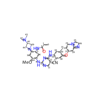 C=CC(=O)Nc1cc(Nc2ncc(C#N)c(Nc3ccc(Oc4ccn5ccnc5c4)c(C)c3)n2)c(OC)cc1N1CC(N(C)C)C1